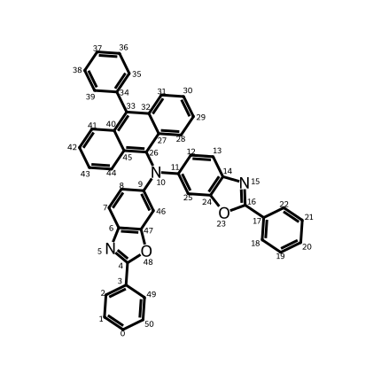 c1ccc(-c2nc3ccc(N(c4ccc5nc(-c6ccccc6)oc5c4)c4c5ccccc5c(-c5ccccc5)c5ccccc45)cc3o2)cc1